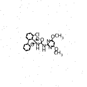 COc1cc(OC)nc(NC(=O)NS(=O)(=O)c2c(Cl)cccc2-c2ccccc2)n1